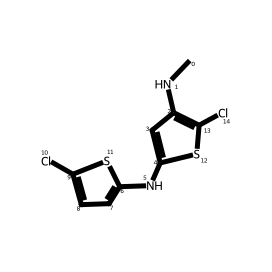 CNc1cc(Nc2ccc(Cl)s2)sc1Cl